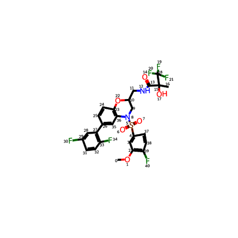 COc1cc(S(=O)(=O)N2CC(CNC(=O)C(C)(O)C(F)(F)F)Oc3ccc(-c4cc(F)ccc4F)cc32)ccc1F